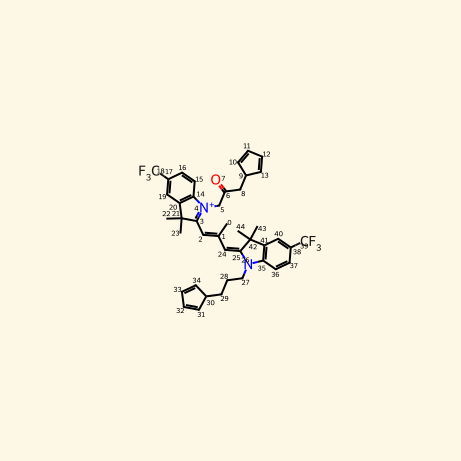 CC(=C\C1=[N+](CC(=O)CC2C=CC=C2)c2ccc(C(F)(F)F)cc2C1(C)C)/C=C1/N(CCCC2C=CC=C2)c2ccc(C(F)(F)F)cc2C1(C)C